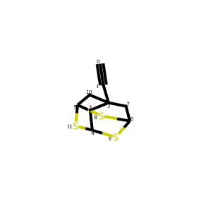 C#CC12CC3SC(C1)SC(C2)S3